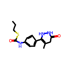 CCCSC(=O)Nc1ccc(C2=C(C)CC(=O)NN2)cc1